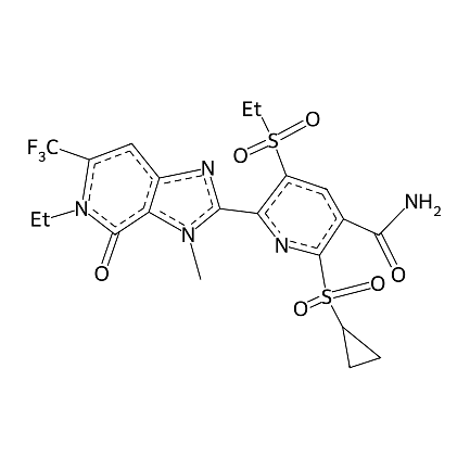 CCn1c(C(F)(F)F)cc2nc(-c3nc(S(=O)(=O)C4CC4)c(C(N)=O)cc3S(=O)(=O)CC)n(C)c2c1=O